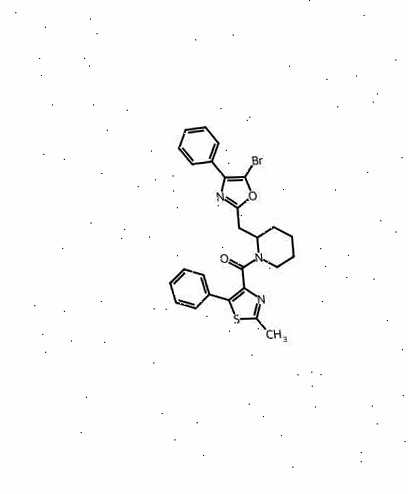 Cc1nc(C(=O)N2CCCCC2Cc2nc(-c3ccccc3)c(Br)o2)c(-c2ccccc2)s1